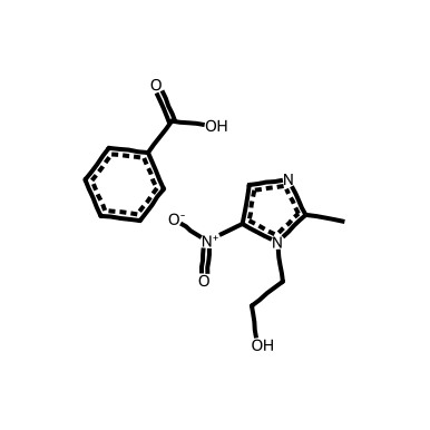 Cc1ncc([N+](=O)[O-])n1CCO.O=C(O)c1ccccc1